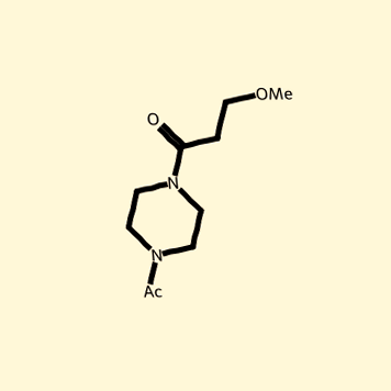 COCCC(=O)N1CCN(C(C)=O)CC1